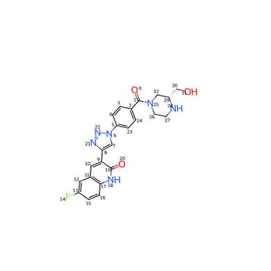 O=C(c1ccc(-n2cc(-c3cc4cc(F)ccc4[nH]c3=O)nn2)cc1)N1CCN[C@@H](CO)C1